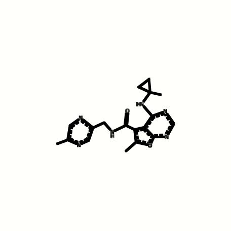 Cc1cnc(CNC(=O)c2c(C)oc3ncnc(NC4(C)CC4)c23)cn1